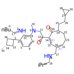 CCCCC(=N)[C@]1(c2cccc(N(C)CC(=O)/C3=C/C(CNCC(C)C)=C\CCC(CCC4CC4)C3=O)c2)C[C@H](C)C1